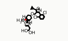 C[C@H]1C[C@@H]2C[C@@H](OCc3c(-c4c(Cl)cccc4Cl)noc3C3CC3)C[C@H]1[C@]2(O)c1nc(CC(O)O)cs1